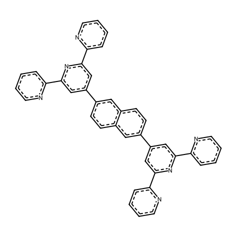 c1ccc(-c2cc(-c3ccc4cc(-c5cc(-c6ccccn6)nc(-c6ccccn6)c5)ccc4c3)cc(-c3ccccn3)n2)nc1